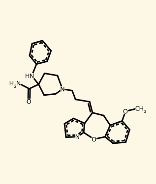 COc1cccc2c1C/C(=C/CCN1CCC(Nc3ccccc3)(C(N)=O)CC1)c1cccnc1O2